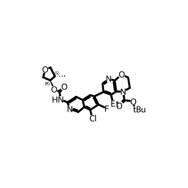 CCc1c(-c2cc3cc(NC(=O)O[C@H]4COC[C@@H]4C)ncc3c(Cl)c2F)cnc2c1N(C(=O)OC(C)(C)C)CCO2